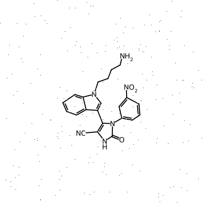 N#Cc1[nH]c(=O)n(-c2cccc([N+](=O)[O-])c2)c1-c1cn(CCCCN)c2ccccc12